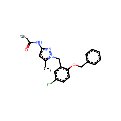 Cc1cc(NC(=O)C(C)(C)C)nn1Cc1cc(Cl)ccc1OCc1ccccc1